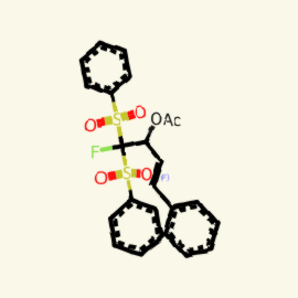 CC(=O)OC(/C=C/c1ccccc1)C(F)(S(=O)(=O)c1ccccc1)S(=O)(=O)c1ccccc1